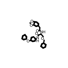 O=C(Cc1ccc2c(c1)OCO2)NC(COCc1ccccc1)C(=O)Nc1ccc(Oc2ccccc2)cc1